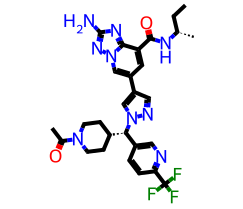 CC[C@H](C)NC(=O)c1cc(-c2cnn([C@H](c3ccc(C(F)(F)F)nc3)C3CCN(C(C)=O)CC3)c2)cn2nc(N)nc12